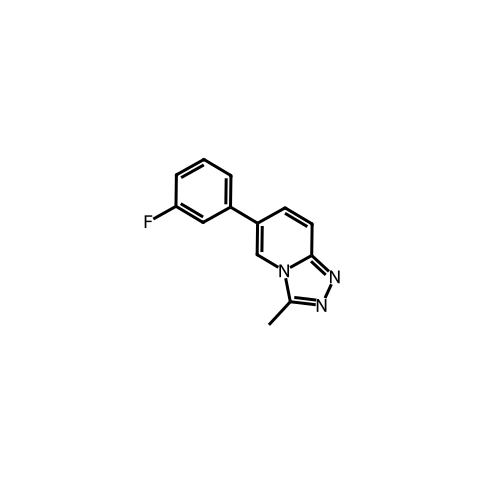 Cc1nnc2ccc(-c3cccc(F)c3)cn12